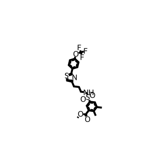 COC(=O)c1cc(S(=O)(=O)NCCCc2csc(-c3ccc(OC(F)(F)F)cc3)n2)cc(C)c1C